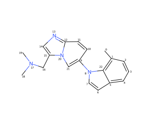 Cc1cccc2ccn(-c3ccc4ncc(CN(C)C)n4c3)c12